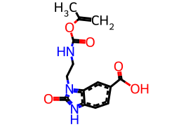 C=C(C)OC(=O)NCCn1c(=O)[nH]c2ccc(C(=O)O)cc21